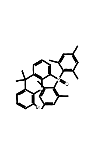 Cc1cc(C)c(P(=O)(c2cccc3c2Oc2c(Br)cccc2C3(C)C)c2c(C)cc(C)cc2C)c(C)c1